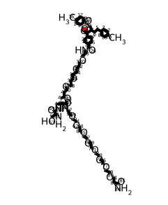 Cc1ccc(CCC(CS(=O)(=O)c2ccc(C)cc2)C(=O)c2ccc(C(=O)NCCOCCOCCOCCOCCC(=O)C[C@@H](CNC(=O)[C@H](N)CO)C(=O)NCCOCCOCCOCCOCCOCCOCCOCCOCCC(N)=O)cc2)cc1